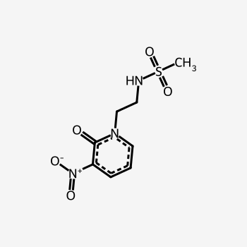 CS(=O)(=O)NCCn1cccc([N+](=O)[O-])c1=O